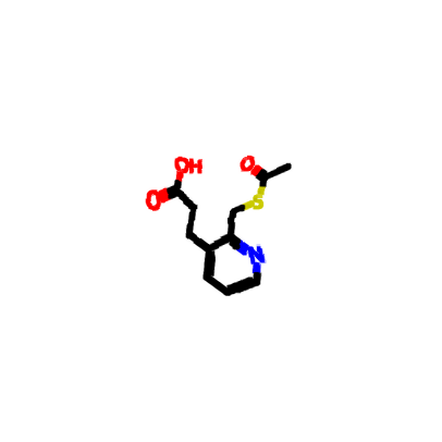 CC(=O)SCc1ncccc1CCC(=O)O